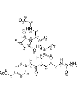 CC(=O)OCc1ccc(NC(=O)[C@H](CCCNC(N)=O)NC(=O)[C@@H](NC(=O)[C@H](CNCC(=O)O)N2C(=O)CC(C)C2=O)C(C)C)cc1